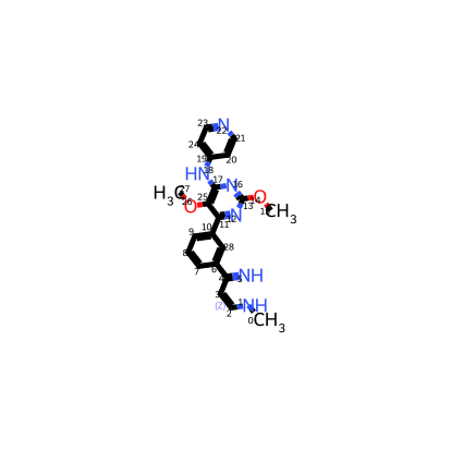 CN/C=C\C(=N)c1cccc(-c2nc(OC)nc(Nc3ccncc3)c2OC)c1